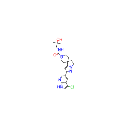 CC(C)(O)CNC(=O)N1CCC2(CC1)CCn1nc(-c3cnc4[nH]cc(Cl)c4c3)cc12